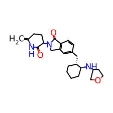 C=C1CCC(N2Cc3cc(C[C@H]4CCCC[C@@H]4N[C@H]4CCOC4)ccc3C2=O)C(=O)N1